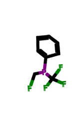 FCP(c1ccccc1)C(F)(F)F